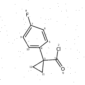 O=C(Cl)C1(c2ccc(F)cc2)CC1